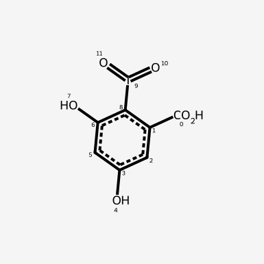 O=C(O)c1cc(O)cc(O)c1I(=O)=O